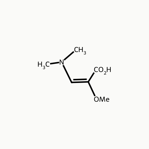 COC(=CN(C)C)C(=O)O